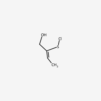 C/C=C(/CO)SCl